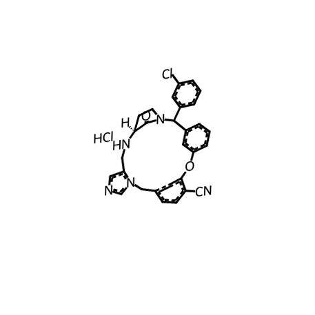 Cl.N#Cc1ccc2cc1Oc1cccc(c1)C(c1cccc(Cl)c1)N1CC[C@H](NCc3cncn3C2)C1=O